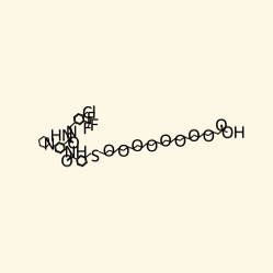 O=C(O)CCOCCOCCOCCOCCOCCOCCOCCOCCSCc1cccc(C(=O)Nc2ccc(N3CCCCC3)cc2C(=O)N/N=C/c2ccc(Cl)c(C(F)(F)F)c2)c1